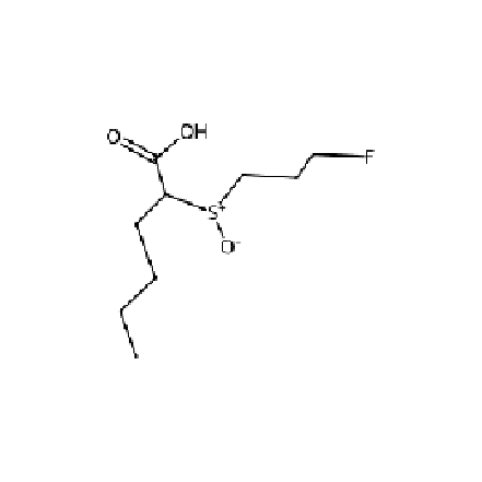 CCCCC(C(=O)O)[S+]([O-])CCCF